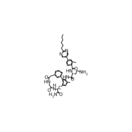 CCCCCCc1ncc(-c2ccc(C(=O)N[C@@H](CCN)C(=O)Nc3c(C)cc4cc3-c3cccc(c3)CC(=O)NCC(=O)NC(C(N)=O)C4)c(C)c2)cn1